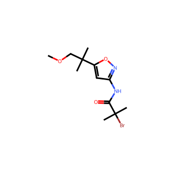 COCC(C)(C)c1cc(NC(=O)C(C)(C)Br)no1